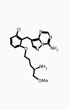 COC[C@H](N)CCCOc1cccc(Cl)c1Cc1cnn2c(N)ncnc12